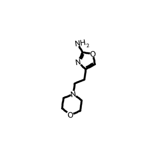 Nc1nc(CCN2CCOCC2)co1